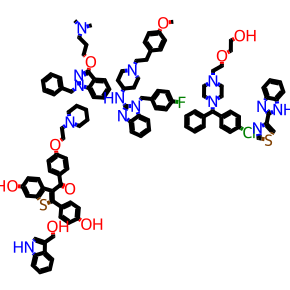 CN(C)CCCOc1nn(Cc2ccccc2)c2ccccc12.COc1ccc(CCN2CCC(Nc3nc4ccccc4n3Cc3ccc(F)cc3)CC2)cc1.O=C(c1ccc(OCCN2CCCCC2)cc1)c1c(-c2ccc(O)cc2)sc2cc(O)ccc12.OCCOCCN1CCN(C(c2ccccc2)c2ccc(Cl)cc2)CC1.OCc1c[nH]c2ccccc12.c1ccc2[nH]c(-c3cscn3)nc2c1